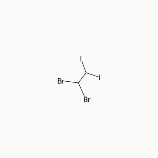 BrC(Br)C(I)I